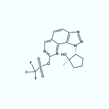 C[C@@]1(O)CCC[C@H]1n1nnc2ccc3cnc(OS(=O)(=O)C(F)(F)F)nc3c21